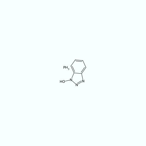 On1nnc2ccccc21.P